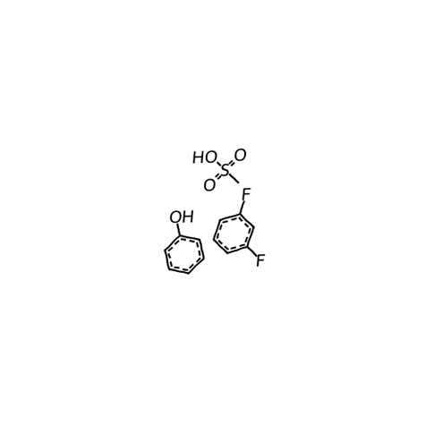 CS(=O)(=O)O.Fc1cccc(F)c1.Oc1ccccc1